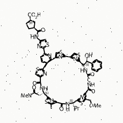 CNC(=O)C[C@@H]1NC(=O)c2csc(n2)-c2ccc(-c3nc(NC(=O)C4CC[C@@H](C(=O)O)C4)cs3)nc2-c2csc(n2)-c2csc(n2)[C@H]([C@@H](O)c2ccccc2)NC(=O)CNC(=O)c2nc(sc2COC)[C@H](C(C)C)NC(=O)c2nc1sc2C